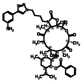 CC[C@H]1OC(=O)[C@H](C)C(=O)[C@H](C)[C@@H](O[C@@H]2O[C@H](C)C[C@H](N(C)C)[C@H]2OC(=O)c2ccccc2)[C@@](C)(OC)C[C@@H](C)C(=O)[C@H](C)[C@H]2N(CCCCn3cc(-c4cccc(N)c4)nn3)C(=O)O[C@]12C